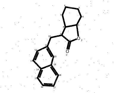 O=C1OC2CCCCC2C1Cc1ccc2ccccc2c1